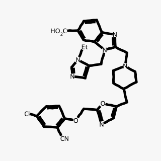 CCn1cncc1Cn1c(CN2CCC(Cc3cnc(COc4ccc(Cl)cc4C#N)o3)CC2)nc2ccc(C(=O)O)cc21